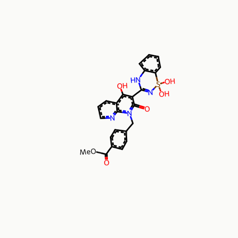 COC(=O)c1ccc(Cn2c(=O)c(C3=NS(O)(O)c4ccccc4N3)c(O)c3cccnc32)cc1